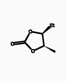 CC[C@@H]1OC(=O)O[C@H]1C